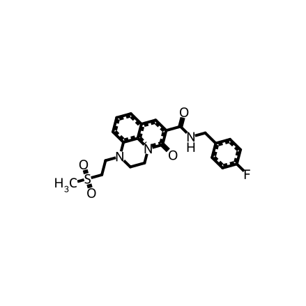 CS(=O)(=O)CCN1CCn2c(=O)c(C(=O)NCc3ccc(F)cc3)cc3cccc1c32